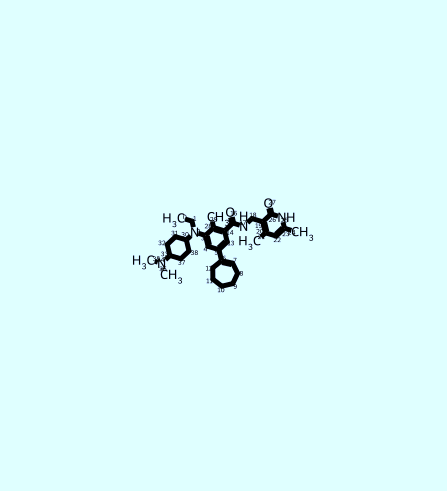 CCN(c1cc(C2=CCCCCC2)cc(C(=O)NCc2c(C)cc(C)[nH]c2=O)c1C)C1CCC(N(C)C)CC1